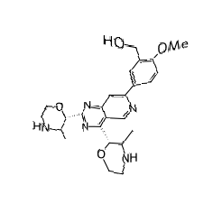 COc1ccc(-c2cc3nc([C@H]4OCCNC4C)nc([C@H]4OCCNC4C)c3cn2)cc1CO